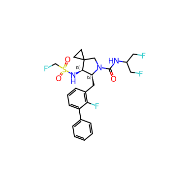 O=C(NC(CF)CF)N1CC2(CC2)[C@H](NS(=O)(=O)CF)[C@@H]1Cc1cccc(-c2ccccc2)c1F